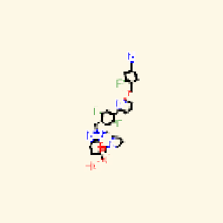 CC(=O)N1CCC[C@@H]1Cn1c(Cc2cc(F)c(-c3cccc(OCc4ccc(C#N)cc4F)n3)cc2F)nc2ccc(C(=O)O)cc21